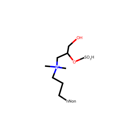 CCCCCCCCCCCC[N+](C)(C)CC(CO)OS(=O)(=O)O